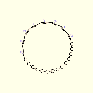 [C]1=C/C=C/C=C\C=C\C=C\C=C\C=C\C=C/CCCCCCCCCCCCCC/1